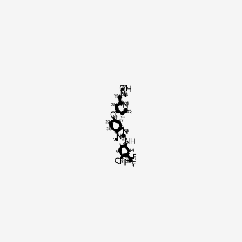 Cn1c(Nc2ccc(Cl)c(C(F)(F)F)c2)nc2cc(Oc3ccnc(C=NO)c3)ccc21